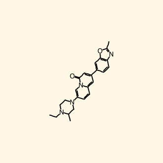 CCN1CCN(c2ccc3cc(-c4ccc5nc(C)oc5c4)cc(=O)n3c2)CC1C